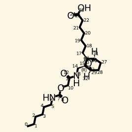 CCCCCCNC(=O)OCC(=O)NC[C@H]1[C@@H](CCCCCCC(=O)O)[C@H]2CC[C@@H]1O2